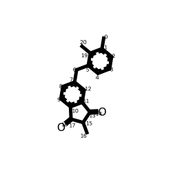 Cc1cccc(Cc2ccc3c(c2)C(=O)C(C)C3=O)c1C